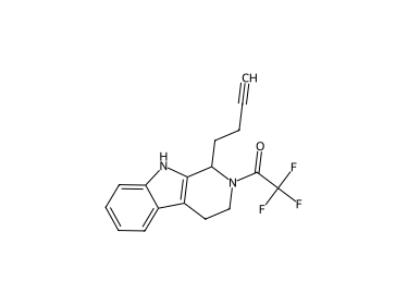 C#CCCC1c2[nH]c3ccccc3c2CCN1C(=O)C(F)(F)F